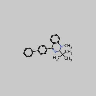 CN1c2ccccc2C(c2ccc(-c3ccccc3)cc2)=NC1C(C)(C)C